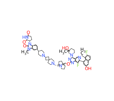 CCc1c(F)ccc2cc(O)cc(-c3ncc4c(N5CCC[C@@](C)(O)C5)nc(OC[C@@]56CCCN5[C@H](CN5CCC7(CC5)CC(N5CCC(c8ccc9c(c8)n(C)c(=O)n9C8CCC(=O)NC8=O)CC5)C7)CC6)nc4c3F)c12